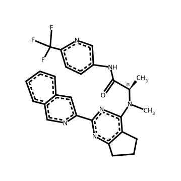 C[C@H](C(=O)Nc1ccc(C(F)(F)F)nc1)N(C)c1nc(-c2cc3ccccc3cn2)nc2c1CCC2